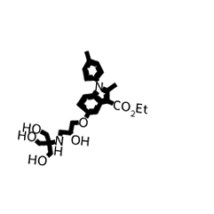 CCOC(=O)c1c(C)n(-c2ccc(C)cc2)c2ccc(OCC(O)CNC(CO)(CO)CO)cc12